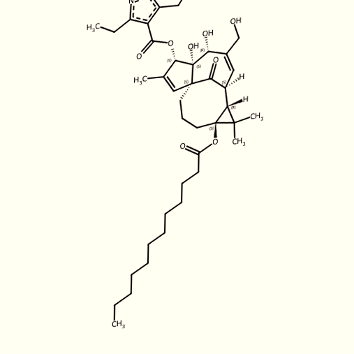 CCCCCCCCCCCC(=O)O[C@@]12CCC[C@]34C=C(C)[C@H](OC(=O)c5c(CC)noc5CC)[C@@]3(O)[C@H](O)C(CO)=C[C@H](C4=O)[C@@H]1C2(C)C